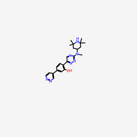 CN(c1ncc(-c2ccc(-c3ccnnc3)cc2O)nn1)C1CC(C)(C)NC(C)(C)C1